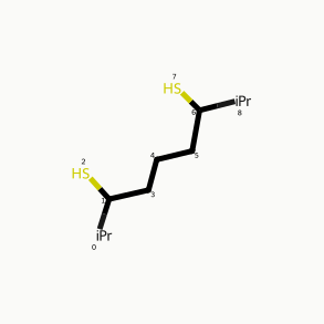 CC(C)C(S)CCCC(S)C(C)C